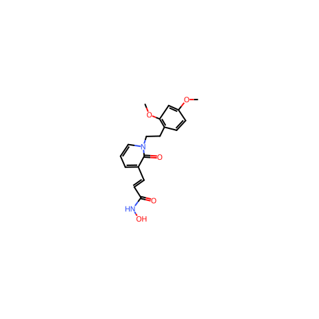 COc1ccc(CCn2cccc(/C=C/C(=O)NO)c2=O)c(OC)c1